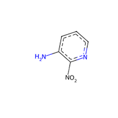 Nc1cccnc1[N+](=O)[O-]